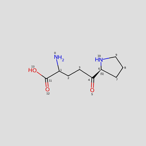 NC(CCC(=O)[C@@H]1CCCN1)C(=O)O